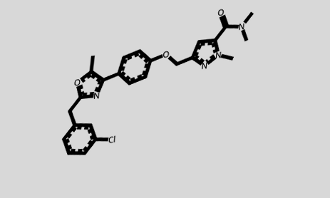 Cc1oc(Cc2cccc(Cl)c2)nc1-c1ccc(OCc2cc(C(=O)N(C)C)n(C)n2)cc1